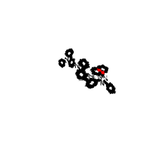 c1ccc(-c2nc(-c3ccccc3)nc(-c3cccc4c5ccc6c(c7ccccc7n6-c6ccc7c(c6)c6ccccc6n7-c6ccccc6)c5n(-c5ccccc5)c34)n2)cc1